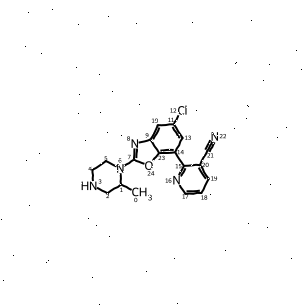 CC1CNCCN1c1nc2cc(Cl)cc(-c3ncccc3C#N)c2o1